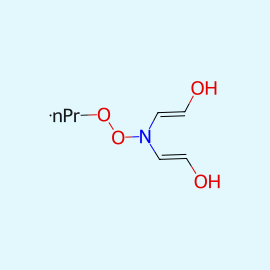 CC[CH]OON(C=CO)C=CO